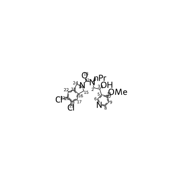 CCCN(CC(O)c1cnccc1OC)C(=O)N1Cc2cc(Cl)c(Cl)cc2C1